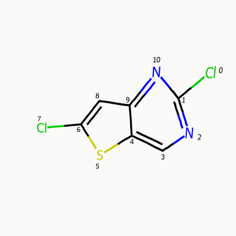 Clc1ncc2sc(Cl)cc2n1